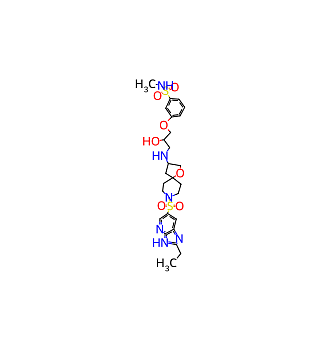 CCc1nc2cc(S(=O)(=O)N3CCC4(CC3)CC(NCC(O)COc3cccc(S(=O)(=O)NC)c3)CO4)cnc2[nH]1